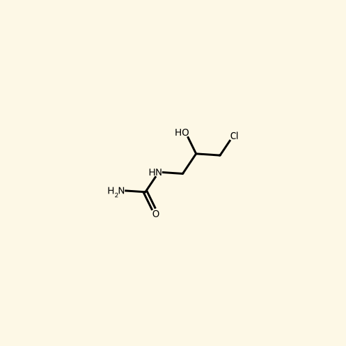 NC(=O)NCC(O)CCl